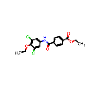 CCOC(=O)c1ccc(C(=O)Nc2cc(Cl)c(OCC)c(Cl)c2)cc1